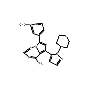 Nc1ncnn2c(-c3cccc(C=O)c3)cc(-c3ccnn3C3CCOCC3)c12